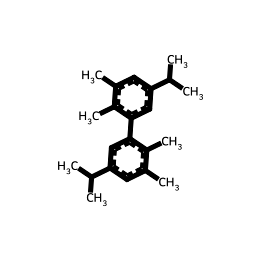 Cc1cc(C(C)C)cc(-c2cc(C(C)C)cc(C)c2C)c1C